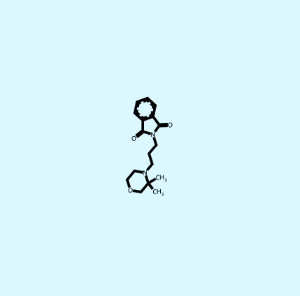 CC1(C)COCCN1CCCN1C(=O)c2ccccc2C1=O